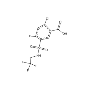 O=C(O)c1cc(S(=O)(=O)NCC(F)(F)F)c(F)cc1Cl